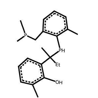 CCC(C)(Pc1c(C)cccc1CP(C)C)c1cccc(C)c1O